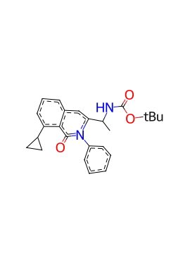 CC(NC(=O)OC(C)(C)C)c1cc2cccc(C3CC3)c2c(=O)n1-c1ccccc1